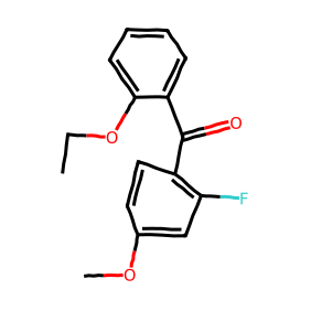 CCOc1ccccc1C(=O)c1ccc(OC)cc1F